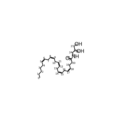 CCCCC/C=C\C/C=C\C/C=C\C/C=C\C/C=C\CCC(=O)NCC(O)CO